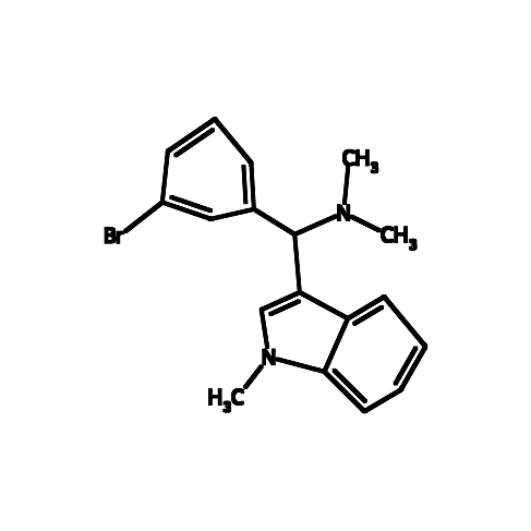 CN(C)C(c1cccc(Br)c1)c1cn(C)c2ccccc12